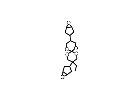 CCC1(C2CC3OC3C2)COC2(OCC(C3CC4OC4C3)CO2)OC1